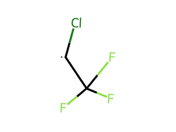 FC(F)(F)[CH]Cl